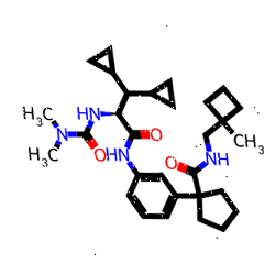 CN(C)C(=O)N[C@H](C(=O)Nc1cccc(C2(C(=O)NCC3(C)CCC3)CCCC2)c1)C(C1CC1)C1CC1